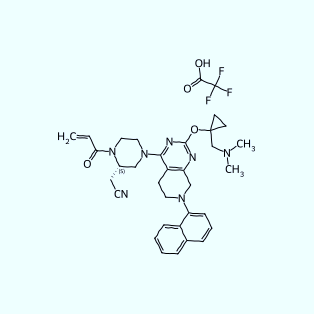 C=CC(=O)N1CCN(c2nc(OC3(CN(C)C)CC3)nc3c2CCN(c2cccc4ccccc24)C3)C[C@@H]1CC#N.O=C(O)C(F)(F)F